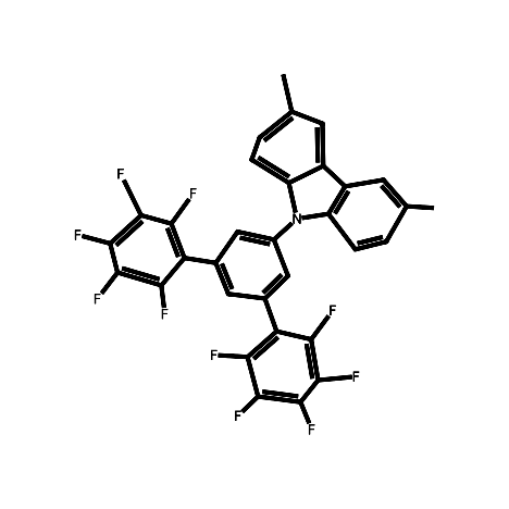 Cc1ccc2c(c1)c1cc(C)ccc1n2-c1cc(-c2c(F)c(F)c(F)c(F)c2F)cc(-c2c(F)c(F)c(F)c(F)c2F)c1